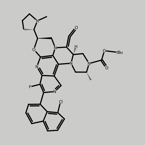 C[C@@H]1CN2c3c4c(nc5c(F)c(-c6cccc7cccc(Cl)c67)ncc35)O[C@@H]([C@@H]3CCCN3C)CN4C(=C=O)[C@H]2CN1C(=O)OC(C)(C)C